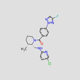 C[C@@H]1CCCN(C(=O)c2ccc(-n3ncc(F)n3)cc2)[C@@H]1CNc1ccc(Cl)cn1